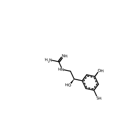 N=C(N)NC[C@H](O)c1cc(O)cc(S)c1